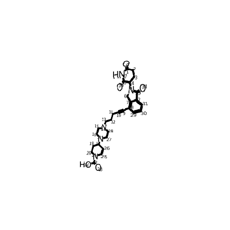 O=C1CCC(N2Cc3c(C#CCCCN4CCN(C5CCN(C(=O)O)CC5)CC4)cccc3C2=O)C(=O)N1